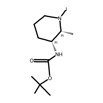 C[C@@H]1[C@H](NC(=O)OC(C)(C)C)CCCN1I